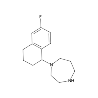 Fc1ccc2c(c1)CCCC2N1CCCNCC1